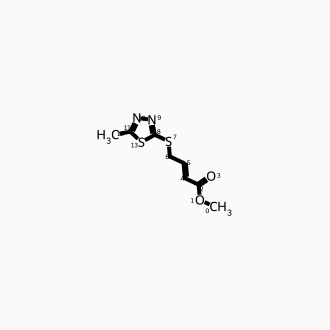 COC(=O)C=CCSc1nnc(C)s1